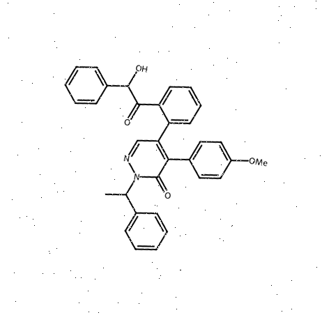 COc1ccc(-c2c(-c3ccccc3C(=O)C(O)c3ccccc3)cnn(C(C)c3ccccc3)c2=O)cc1